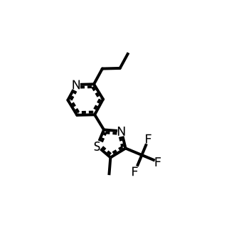 CCCc1cc(-c2nc(C(F)(F)F)c(C)s2)ccn1